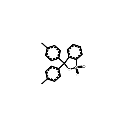 Cc1ccc(C2(c3ccc(C)cc3)OS(=O)(=O)c3ccccc32)cc1